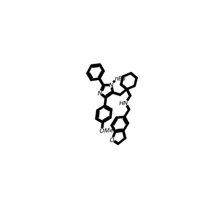 CCCCn1c(-c2ccccc2)nc(-c2ccc(OC)cc2)c1CC1(CNCc2ccc3c(c2)CCO3)CCCCC1